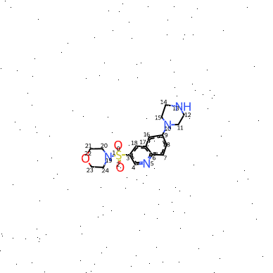 O=S(=O)(c1cnc2ccc(N3CCNCC3)cc2c1)N1CCOCC1